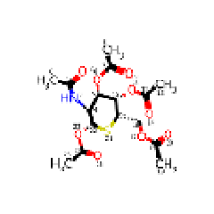 CC(=O)N[C@H]1[C@@H](OC(C)=O)[C@H](OC(C)=O)[C@H](COC(C)=O)S[C@@H]1OC(C)=O